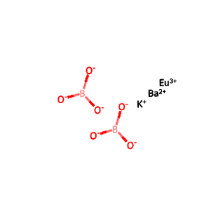 [Ba+2].[Eu+3].[K+].[O-]B([O-])[O-].[O-]B([O-])[O-]